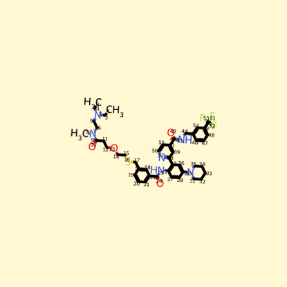 CCN(CC)CCN(C)C(=O)CCOCCSCc1cccc(C(=O)Nc2ccc(N3CCCCC3)cc2-c2cc(C(=O)NCc3cccc(C(F)(F)F)c3)ccn2)c1